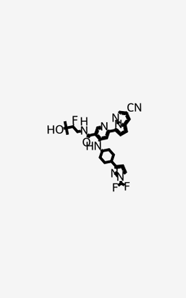 CC(C)(O)[C@H](F)CNC(=O)c1cnc(-c2ccc3cc(C#N)cnn23)cc1NC1CCC(c2ccn(C(F)F)n2)CC1